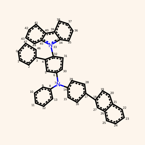 c1ccc(-c2cc(N(c3ccccc3)c3ccc(-c4ccc5ccccc5c4)cc3)ccc2-n2c3ccccc3c3ccccc32)cc1